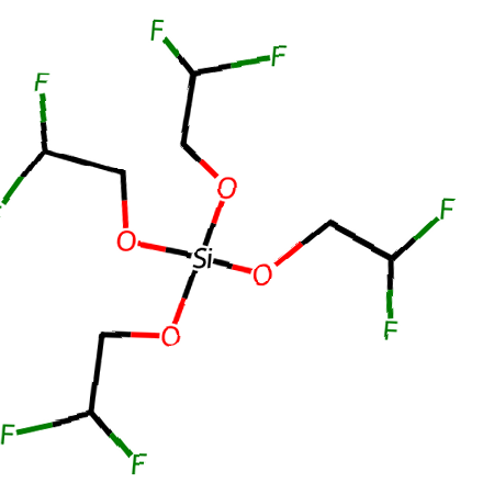 FC(F)CO[Si](OCC(F)F)(OCC(F)F)OCC(F)F